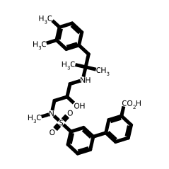 Cc1ccc(CC(C)(C)NCC(O)CN(C)S(=O)(=O)c2cccc(-c3cccc(C(=O)O)c3)c2)cc1C